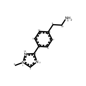 Cn1cnc(-c2ccc(CCN)cc2)n1